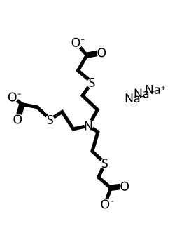 O=C([O-])CSCCN(CCSCC(=O)[O-])CCSCC(=O)[O-].[Na+].[Na+].[Na+]